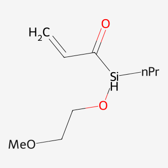 C=CC(=O)[SiH](CCC)OCCOC